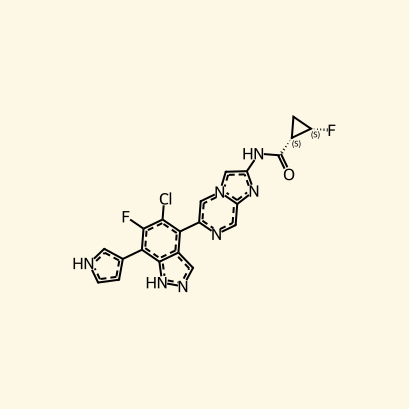 O=C(Nc1cn2cc(-c3c(Cl)c(F)c(-c4cc[nH]c4)c4[nH]ncc34)ncc2n1)[C@@H]1C[C@@H]1F